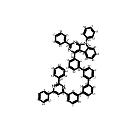 c1ccc(-c2cc(-c3cccc(-c4cccc(-c5cccc(-c6cccc(-c7nc(-c8ccccc8)nc8c7c7ccccc7n8-c7ccccc7)c6)c5)c4)c3)nc(-c3ccccc3)n2)cc1